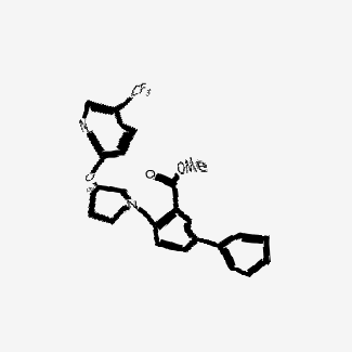 COC(=O)c1cc(-c2ccccc2)ccc1N1CC[C@H](Oc2ccc(C(F)(F)F)cn2)C1